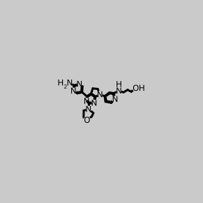 Nc1ncc(-c2nc(N3CCOCC3)nc3c2CCN3c2ccnc(NCCCO)c2)cn1